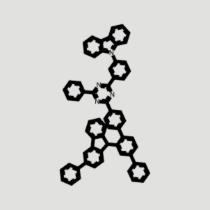 c1ccc(-c2ccc3c(c2)-c2ccccc2C3c2cc(-c3ccccc3)ccc2-c2ccc(-c3nc(-c4ccccc4)nc(-c4cccc(-n5c6ccccc6c6ccccc65)c4)n3)cc2)cc1